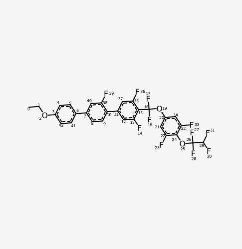 CCOc1ccc(-c2ccc(-c3cc(F)c(C(F)(F)Oc4cc(F)c(OC(F)(F)C(F)F)c(F)c4)c(F)c3)c(F)c2)cc1